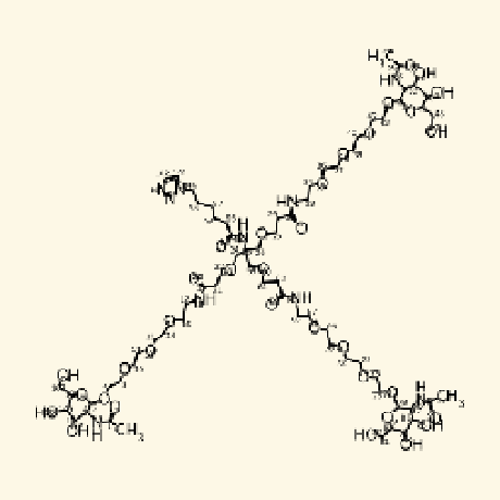 CC(=O)NC1C(OCCOCCOCCOCCNC(=O)CCOCC(COCCC(=O)NCCOCCOCCOCCOC2OC(CO)C(O)C(O)C2NC(C)=O)(COCCC(=O)NCCOCCOCCOCCOC2OC(CO)C(O)C(O)C2NC(C)=O)NC(=O)CCCCCn2ccnn2)OC(CO)C(O)C1O